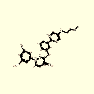 COCCOc1cnc(-c2cccc(Cc3nn(-c4cc(F)cc(F)c4)ccc3=O)c2)nc1